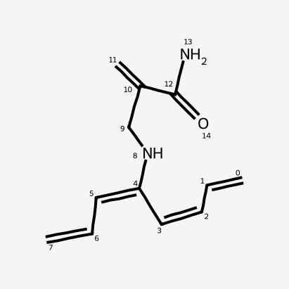 C=C/C=C\C(=C/C=C)NCC(=C)C(N)=O